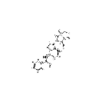 CC[C@@]1(C)O[C@@H](c2ccc3c(NC(=O)c4ccccc4)ncnn23)[C@H](F)[C@@H]1C